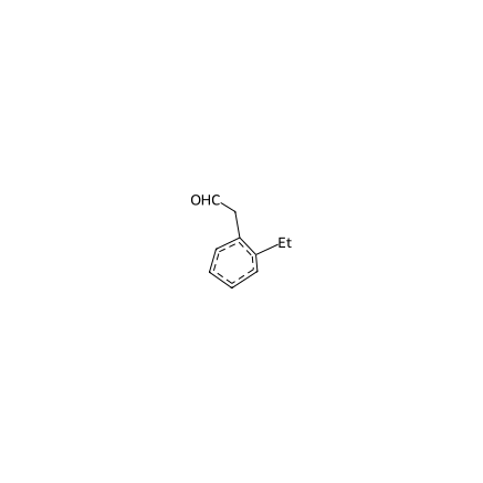 CCc1ccccc1CC=O